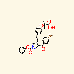 CSc1ccc(C(=O)C2CN(C(=O)Oc3ccccc3)CC2CCc2ccc(OC(C)(C)C(=O)O)cc2)cc1